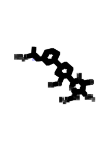 CCOc1cc(-c2cccc(/C=C(\C)C(=O)O)c2)ccc1-c1nc(NN)c(N)c(=O)[nH]1